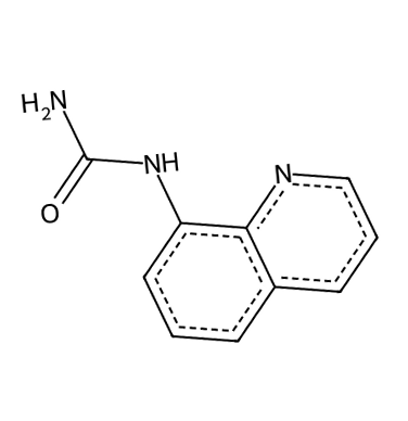 NC(=O)Nc1cccc2cccnc12